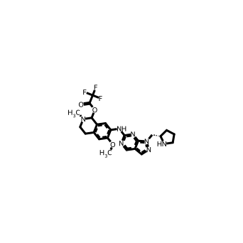 COc1cc2c(cc1Nc1ncc3cnn(C[C@@H]4CCCN4)c3n1)C(OC(=O)C(F)(F)F)N(C)CC2